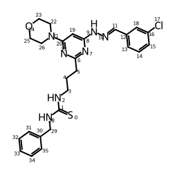 S=C(NCCCc1nc(NN=Cc2cccc(Cl)c2)cc(N2CCOCC2)n1)NCc1ccccc1